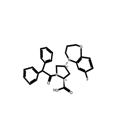 O=C(O)[C@@H]1C[C@@H](N2CCCOc3ccc(F)cc32)CN1C(=O)C(c1ccccc1)c1ccccc1